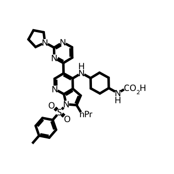 CCCc1cc2c(NC3CCC(NC(=O)O)CC3)c(-c3ccnc(N4CCCC4)n3)cnc2n1S(=O)(=O)c1ccc(C)cc1